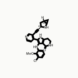 COc1c(Cl)cccc1Nc1c(-c2ccncc2C#C[C@H]2C[C@@H]3CC3N2)[nH]c2c1C(=O)NCC2